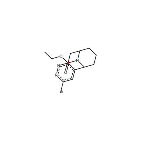 CCOC(=O)N1C2CCCC1c1cc(Br)nnc1C2